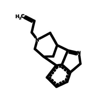 C=CCN1CC2CC(C1)c1cccc3c1C2=NC3